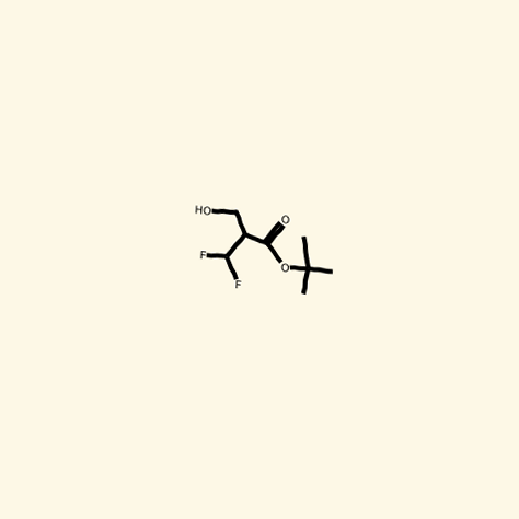 CC(C)(C)OC(=O)C(CO)C(F)F